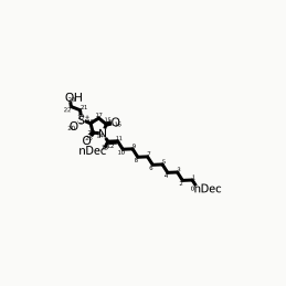 CCCCCCCCCCCCCCCCCCCCC=C(CCCCCCCCCC)N1C(=O)CC([S+]([O-])CCO)C1=O